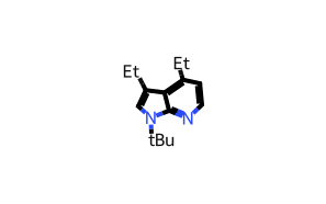 CCc1ccnc2c1c(CC)cn2C(C)(C)C